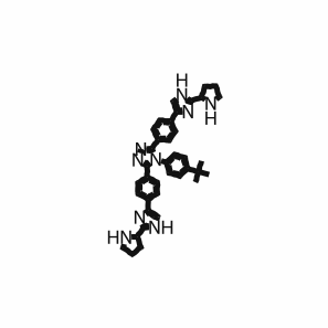 CC(C)(C)c1ccc(-n2c(-c3ccc(-c4c[nH]c(C5CCCN5)n4)cc3)nnc2-c2ccc(-c3c[nH]c(C4CCCN4)n3)cc2)cc1